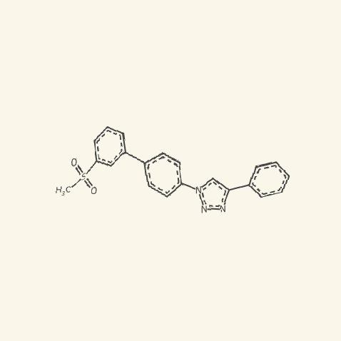 CS(=O)(=O)c1cccc(-c2ccc(-n3cc(-c4ccccc4)nn3)cc2)c1